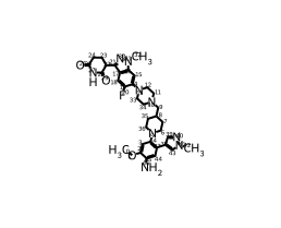 COc1cc(N2CCC(CN3CCN(c4cc5c(cc4F)c(C4CCC(=O)NC4=O)nn5C)CC3)CC2)c(-c2cnn(C)c2)cc1N